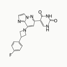 O=c1[nH]cc(-c2cc(N3CC(c4ccc(F)cc4)C3)c3nccn3n2)c(=O)[nH]1